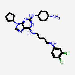 N[C@H]1CC[C@H](Nc2nc(NCCCCNc3ccc(Cl)c(Cl)c3)c3ncn(C4CCCC4)c3n2)CC1